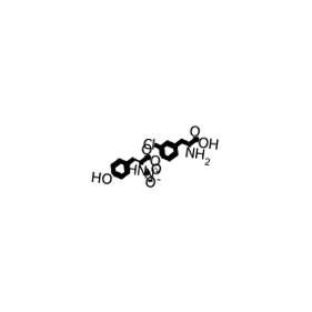 N[C@@H](Cc1ccc(OC(=O)[C@H](Cc2ccc(O)cc2)N[N+](=O)[O-])c(Cl)c1)C(=O)O